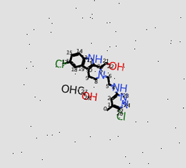 Cc1cc(NCCN2CCc3c([nH]c4ccc(Cl)cc34)C2CO)nnc1Cl.O=CO